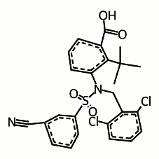 CC(C)(C)c1c(C(=O)O)cccc1N(Cc1c(Cl)cccc1Cl)S(=O)(=O)c1cccc(C#N)c1